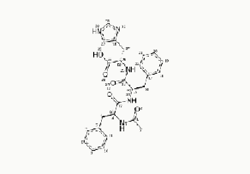 CC(=O)N[C@@H](Cc1ccccc1)C(=O)N[C@H](Cc1ccccc1)C(=O)N[C@@H](Cc1c[nH]cn1)C(=O)O